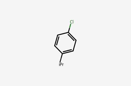 CC(C)c1ccc(Cl)cc1